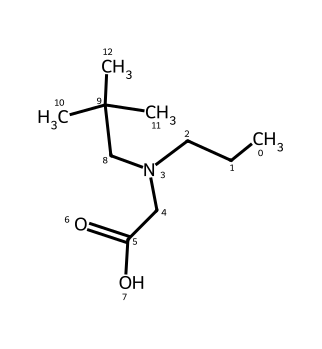 CCCN(CC(=O)O)CC(C)(C)C